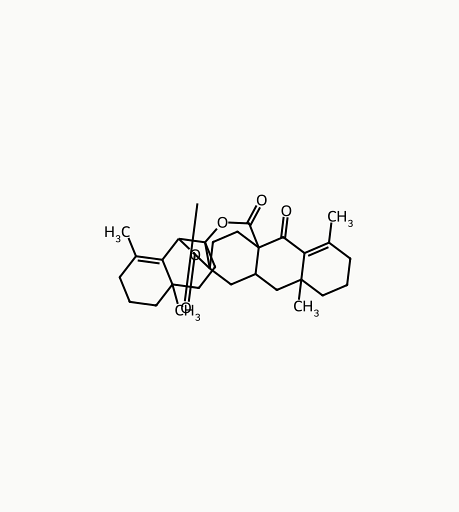 CC1=C2C(=O)C34CCC5(CC3CC2(C)CCC1)C(=O)OC1C2=C(C)CCCC2(C)CCC15OC4=O